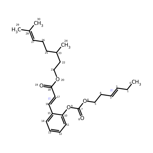 CC/C=C/CCOC(=O)Oc1ccccc1/C=C/C(=O)OCCC(C)CCC=C(C)C